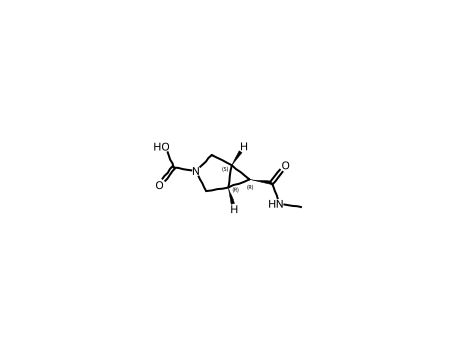 CNC(=O)[C@H]1[C@@H]2CN(C(=O)O)C[C@@H]21